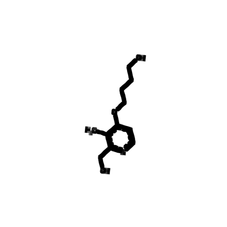 Cc1c(OCCCCO)ccnc1CO